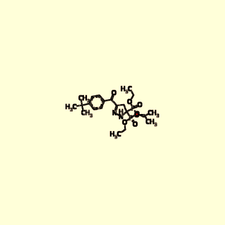 CCOP(=O)(OCC)C1(P(=O)(OCC)OCC)CC(C(=O)c2ccc(C(C)(C)C)cc2)=NN1